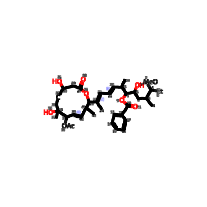 CCC(OC)C(C)CC(O)C(OC(=O)c1ccccc1)C(C)/C=C/C=C(\C)C1OC(=O)CC(O)CCC(C)(O)C(OC(C)=O)/C=C/C1C